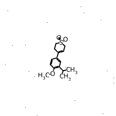 COc1ccc(C2=CCS(=O)(=O)CC2)cc1C(C)C